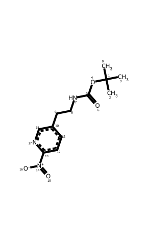 CC(C)(C)OC(=O)NCCc1ccc([N+](=O)[O-])nc1